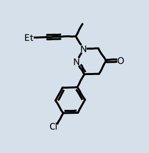 CCC#CC(C)N1CC(=O)CC(c2ccc(Cl)cc2)=N1